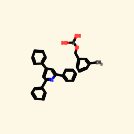 Cc1cccc(COB(O)O)c1.c1ccc(-c2cc(-c3ccccc3)nc(-c3ccccc3)c2)cc1